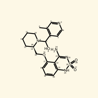 Cc1cnccc1C(O)N1CCCC[C@@H]1COc1cccc2c1C(N)=NS(=O)(=O)N2